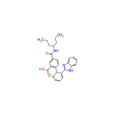 CCCC(CCC)NC(=O)c1ccc(C2C(c3nc4ccccc4[nH]3)=CC=C[C@@H]2Cl)c(C(=O)O)c1